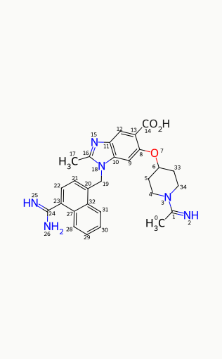 CC(=N)N1CCC(Oc2cc3c(cc2C(=O)O)nc(C)n3Cc2ccc(C(=N)N)c3ccccc23)CC1